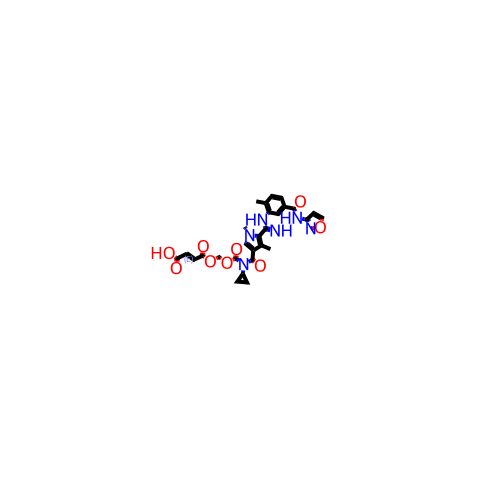 Cc1ccc(C(=O)Nc2ccon2)cc1NC(=N)c1c(C)c(C(=O)N(C(=O)OCOC(=O)/C=C/C(=O)O)C2CC2)cn1C